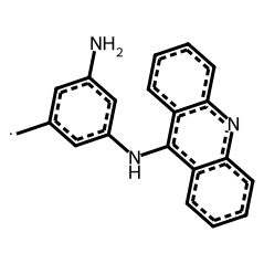 [CH2]c1cc(N)cc(Nc2c3ccccc3nc3ccccc23)c1